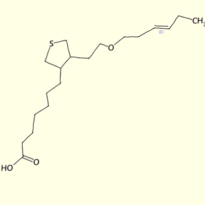 CC/C=C/CCOCCC1CSCC1CCCCCCC(=O)O